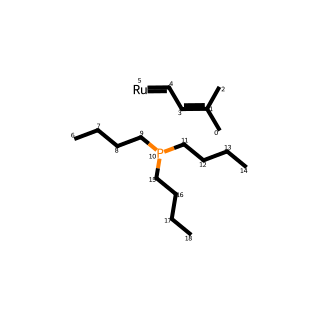 CC(C)=C[CH]=[Ru].CCCCP(CCCC)CCCC